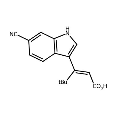 CC(C)(C)/C(=C\C(=O)O)c1c[nH]c2cc(C#N)ccc12